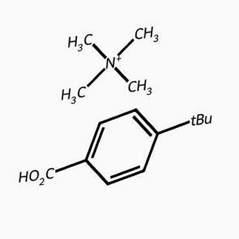 CC(C)(C)c1ccc(C(=O)O)cc1.C[N+](C)(C)C